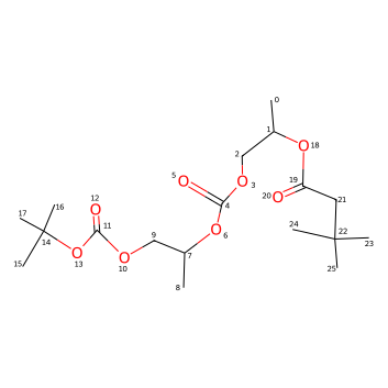 CC(COC(=O)OC(C)COC(=O)OC(C)(C)C)OC(=O)CC(C)(C)C